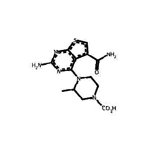 CC1CN(C(=O)O)CCN1c1nc(N)nc2scc(C(N)=O)c12